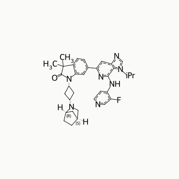 CC(C)n1cnc2cc(-c3ccc4c(c3)N([C@H]3C[C@@H](N5C[C@H]6CC[C@@H]5C6)C3)C(=O)C4(C)C)nc(Nc3ccncc3F)c21